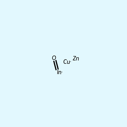 [Cu].[O]=[In].[Zn]